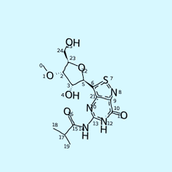 CO[C@H]1[C@@H](O)[C@H](c2snc3c(=O)[nH]c(NC(=O)C(C)C)nc23)O[C@@H]1CO